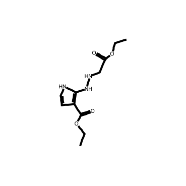 CCOC(=O)CNNc1[nH]ccc1C(=O)OCC